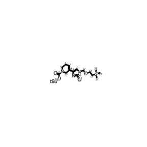 CC(C)(C)OC(=O)N1CCC=C(c2cn(COCCS(C)(C)C)c(Cl)n2)C1